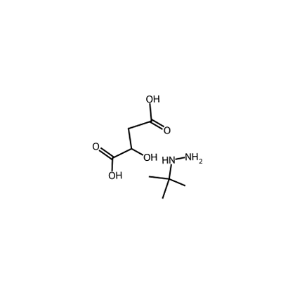 CC(C)(C)NN.O=C(O)CC(O)C(=O)O